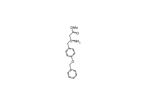 COC(=O)C[C@@H](N)Cc1ccc(OCc2ccccc2)cc1